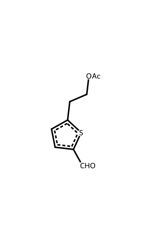 CC(=O)OCCc1ccc(C=O)s1